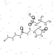 CCCCCC(=O)CC[C@H]1CCC(=O)[C@H]1C(C(=O)OC)C(C)CC